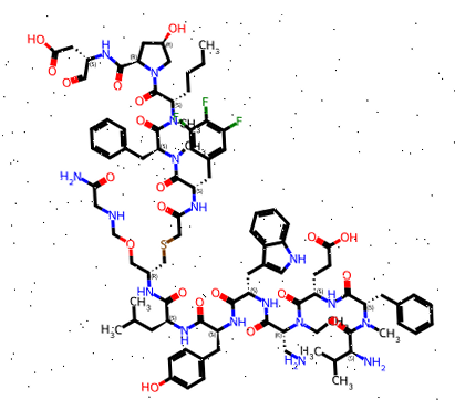 CCCC[C@@H](C(=O)N1C[C@H](O)C[C@@H]1C(=O)N[C@H](C=O)CC(=O)O)N(C)C(=O)[C@H](Cc1ccccc1)N(C)C(=O)[C@H](Cc1cc(F)c(F)c(F)c1)NC(=O)CSC[C@@H](COCNCC(N)=O)NC(=O)[C@H](CC(C)C)NC(=O)[C@H](Cc1ccc(O)cc1)NC(=O)[C@H](Cc1c[nH]c2ccccc12)NC(=O)[C@@H](CN)N(CC)C(=O)[C@H](CCC(=O)O)NC(=O)[C@H](Cc1ccccc1)N(C)C(=O)[C@@H](N)C(C)C